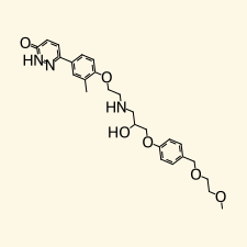 COCCOCc1ccc(OCC(O)CNCCOc2ccc(-c3ccc(=O)[nH]n3)cc2C)cc1